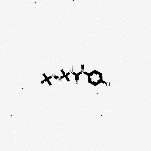 CN(C(=S)NC(C)(C)/N=N/C(C)(C)C)c1ccc(Cl)cc1